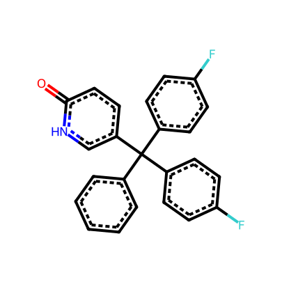 O=c1ccc(C(c2ccccc2)(c2ccc(F)cc2)c2ccc(F)cc2)c[nH]1